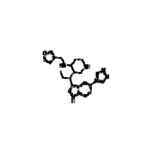 CCC(c1c[nH]c2ccc(-n3cnnc3)cc12)C1CNCCC1NCc1ccoc1